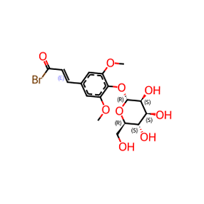 COc1cc(/C=C/C(=O)Br)cc(OC)c1O[C@H]1O[C@H](CO)[C@@H](O)[C@H](O)[C@@H]1O